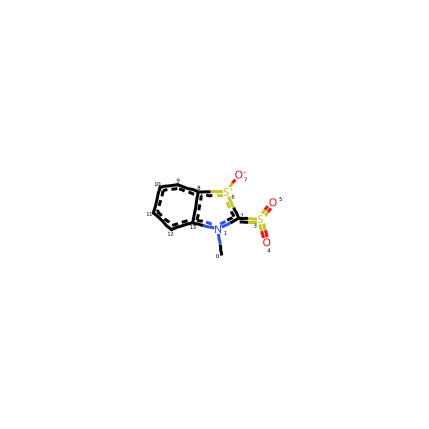 Cn1c(=S(=O)=O)[s+]([O-])c2ccccc21